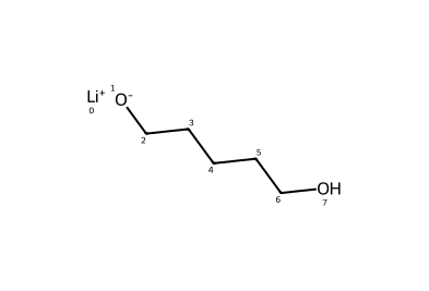 [Li+].[O-]CCCCCO